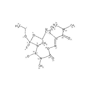 CCOP(=S)(OCC)N(C)[S+]([O-])N(C)C(=O)ON=C(SC)C(=O)N(C)C